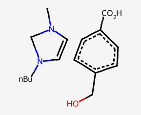 CCCCN1C=CN(C)C1.O=C(O)c1ccc(CO)cc1